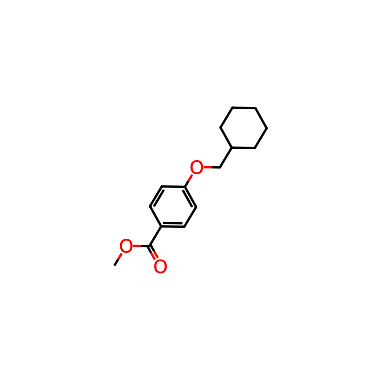 COC(=O)c1ccc(OCC2CCCCC2)cc1